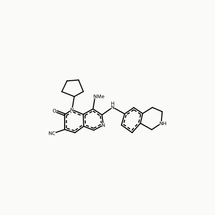 CNc1c(Nc2ccc3c(c2)CCNC3)ncc2cc(C#N)c(=O)n(C3CCCC3)c12